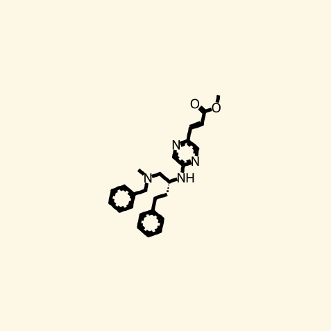 COC(=O)/C=C/c1cnc(N[C@H](CCc2ccccc2)CN(C)Cc2ccccc2)cn1